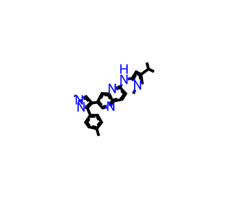 Cc1ccc(-c2nn(C)cc2-c2cnc3ccc(Nc4cc(C(C)C)cn4C)nc3c2)cc1